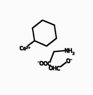 NCC(=O)[O-].O=C[O-].[Ce+2][CH]1CCCCC1